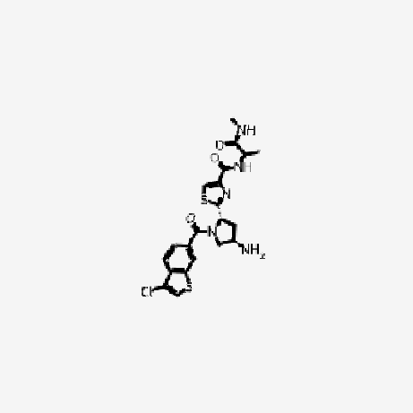 CNC(=O)C(C)NC(=O)c1csc([C@@H]2C[C@@H](N)CN2C(=O)c2ccc3c(Cl)csc3c2)n1